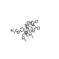 COc1ccc(C2=NC(C)(c3ccc(Cl)cc3)C(c3ccc(Cl)cc3)N2C(=O)O)c(OC(C)C)c1